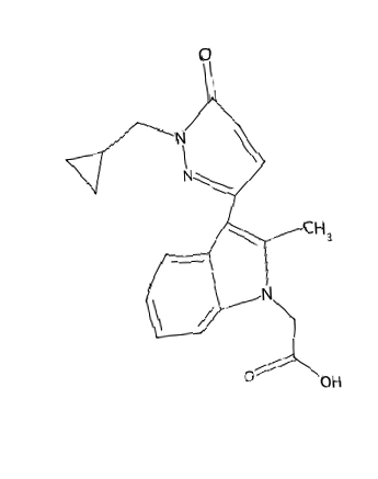 Cc1c(-c2ccc(=O)n(CC3CC3)n2)c2ccccc2n1CC(=O)O